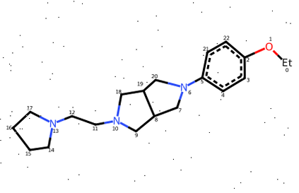 CCOc1ccc(N2CC3CN(CCN4CCCC4)CC3C2)cc1